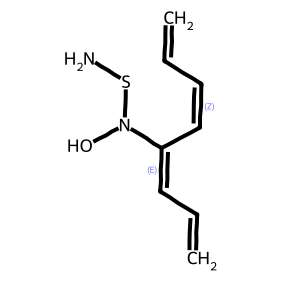 C=C/C=C\C(=C/C=C)N(O)SN